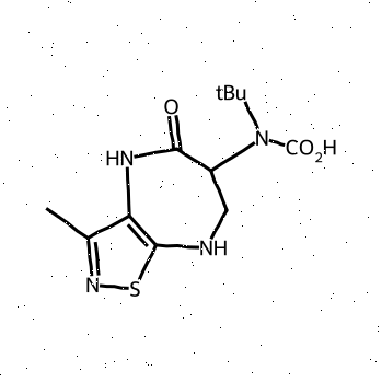 Cc1nsc2c1NC(=O)C(N(C(=O)O)C(C)(C)C)CN2